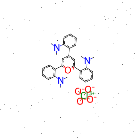 CN(C)c1ccccc1-c1cc(-c2ccccc2N(C)C)[o+]c(-c2ccccc2N(C)C)c1.[O-][Cl+3]([O-])([O-])[O-]